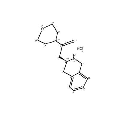 Cl.O=C(C[C@@H]1Cc2ccccc2CN1)N1CCOCC1